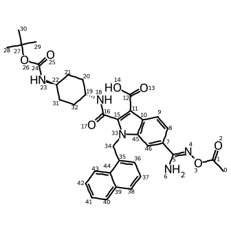 CC(=O)ON=C(N)c1ccc2c(C(=O)O)c(C(=O)N[C@H]3CC[C@H](NC(=O)OC(C)(C)C)CC3)n(Cc3cccc4ccccc34)c2c1